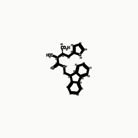 CN(C(=O)OCC1c2ccccc2-c2ccccc21)[C@@H](Cc1ccco1)C(=O)O